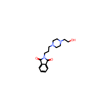 O=C1c2ccccc2C(=O)N1CCCN1CCN(CCO)CC1